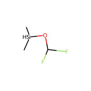 C[SiH](C)OC(F)F